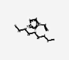 C=Cn1ccnc1.CCCCCCCCC